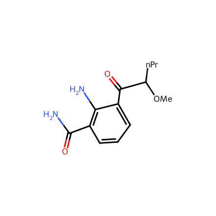 CCCC(OC)C(=O)c1cccc(C(N)=O)c1N